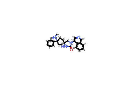 CN(C)[C@]1(c2ccccc2)CC[C@]2(CC1)CN(c1cncc3ccccc13)C(=O)N2